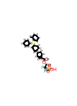 Cc1ccccc1[S+](c1ccccc1)c1ccccc1.O=C(OCC(F)(F)S(=O)(=O)O)C1CC2CCC1C2